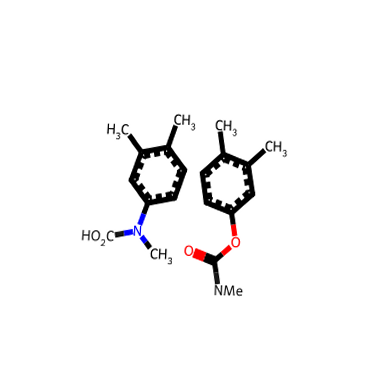 CNC(=O)Oc1ccc(C)c(C)c1.Cc1ccc(N(C)C(=O)O)cc1C